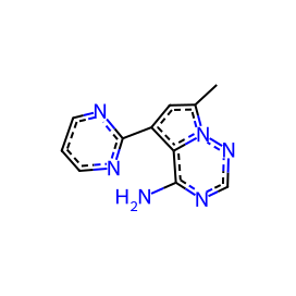 Cc1cc(-c2ncccn2)c2c(N)ncnn12